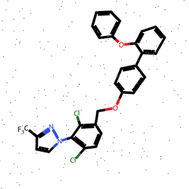 FC(F)(F)c1ccn(-c2c(Cl)ccc(COc3ccc(-c4ccccc4Oc4ccccc4)cc3)c2Cl)n1